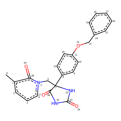 Cc1cccn(CC2(c3ccc(OCc4ccccc4)cc3)NC(=O)NC2=O)c1=O